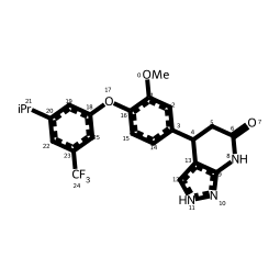 COc1cc(C2CC(=O)Nc3n[nH]cc32)ccc1Oc1cc(C(C)C)cc(C(F)(F)F)c1